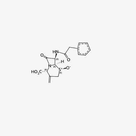 C=C1C[S@+]([O-])[C@@H]2[C@H](NC(=O)Cc3ccccc3)C(=O)N2[C@H]1C(=O)O